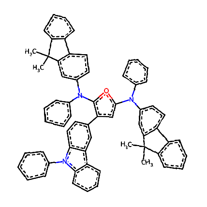 CC1(C)c2ccccc2-c2ccc(N(c3ccccc3)c3cc(-c4ccc5c(c4)c4ccccc4n5-c4ccccc4)c(N(c4ccccc4)c4ccc5c(c4)C(C)(C)c4ccccc4-5)o3)cc21